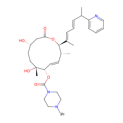 C/C(=C\C=C\C(C)c1ccccn1)[C@@H]1OC(=O)C[C@@H](O)CC[C@@](C)(O)[C@@H](OC(=O)N2CCN(C(C)C)CC2)/C=C/[C@H]1C